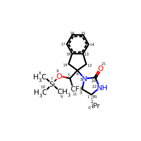 CC(C)[C@@H]1CN(C2(C(O[Si](C)(C)C)C(F)(F)F)Cc3ccccc3C2)C(=O)N1